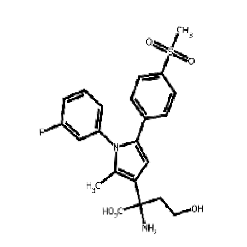 Cc1c(C(N)(CCO)C(=O)O)cc(-c2ccc(S(C)(=O)=O)cc2)n1-c1cccc(F)c1